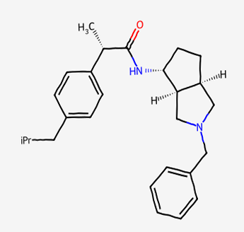 CC(C)Cc1ccc([C@H](C)C(=O)N[C@@H]2CC[C@H]3CN(Cc4ccccc4)C[C@H]32)cc1